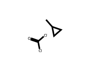 CC1CC1.O=C(Cl)Cl